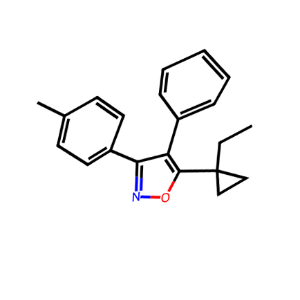 CCC1(c2onc(-c3ccc(C)cc3)c2-c2ccccc2)CC1